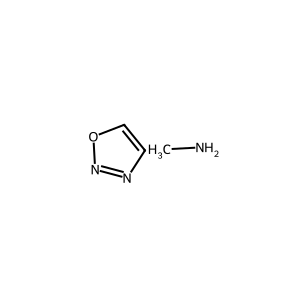 CN.c1conn1